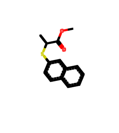 COC(=O)C(C)Sc1ccc2ccccc2c1